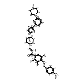 COc1ccc(COc2c(F)cc(C(=O)NC[C@]34CC[C@](c5noc(-c6ccnc(N7CCNCC7)n6)n5)(CC3)CC4)c(F)c2F)cc1